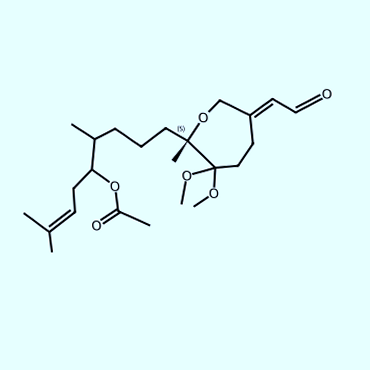 COC1(OC)CCC(=CC=O)CO[C@@]1(C)CCCC(C)C(CC=C(C)C)OC(C)=O